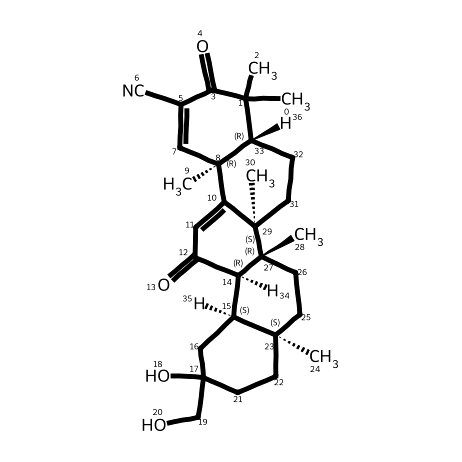 CC1(C)C(=O)C(C#N)=C[C@]2(C)C3=CC(=O)[C@@H]4[C@@H]5CC(O)(CO)CC[C@]5(C)CC[C@@]4(C)[C@]3(C)CC[C@@H]12